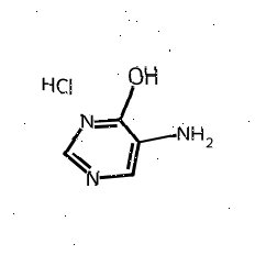 Cl.Nc1cncnc1O